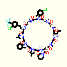 CC[C@H](C)[C@@H]1NC(=O)[C@H](C)N(C)C(=O)C[C@@H](C(=O)N2CCCCC2)NC(=O)[C@H](CC(C)C)N(C)C(=O)[C@H](Cc2ccccc2)N(C)C(=O)[C@H](CC(C)C)NC(=O)[C@H](CCc2ccc(C(F)(F)F)c(Cl)c2)NC(=O)CN(C)C(=O)[C@H](Cc2ccc(Cl)cc2)N(C)C(=O)CN(C)C(=O)CN(C)C1=O